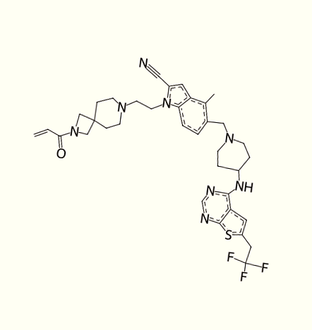 C=CC(=O)N1CC2(CCN(CCn3c(C#N)cc4c(C)c(CN5CCC(Nc6ncnc7sc(CC(F)(F)F)cc67)CC5)ccc43)CC2)C1